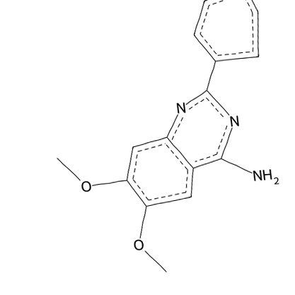 COc1cc2nc(-c3ccccc3)nc(N)c2cc1OC